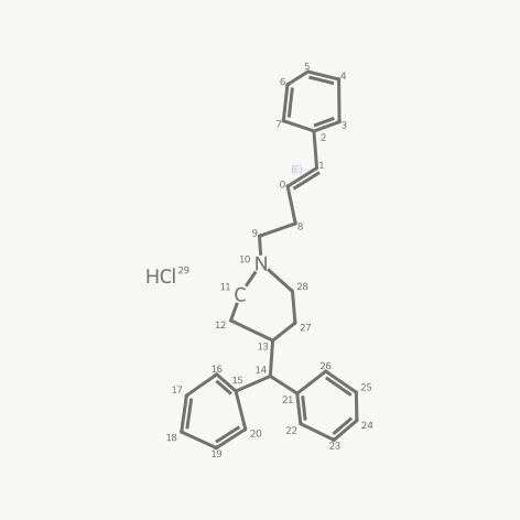 C(=C\c1ccccc1)/CCN1CCC(C(c2ccccc2)c2ccccc2)CC1.Cl